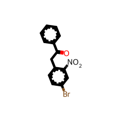 O=C(Cc1ccc(Br)cc1[N+](=O)[O-])c1ccccc1